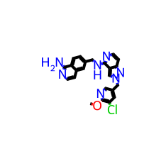 COc1ncc(Cn2cc3c(NCc4ccc5c(N)nccc5c4)nccc3n2)cc1Cl